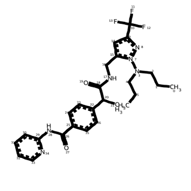 CCCN(CCC)n1nc(C(F)(F)F)cc1CNC(=O)C(C)c1ccc(C(=O)Nc2ccccn2)cc1